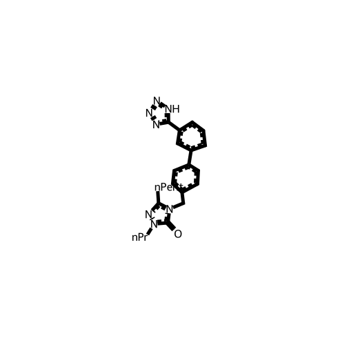 CCCCCc1nn(CCC)c(=O)n1Cc1ccc(-c2cccc(-c3nnn[nH]3)c2)cc1